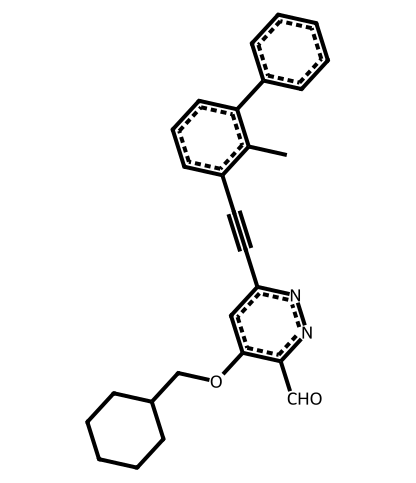 Cc1c(C#Cc2cc(OCC3CCCCC3)c(C=O)nn2)cccc1-c1ccccc1